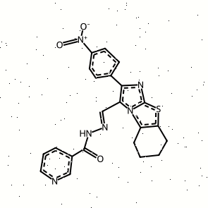 O=C(NN=Cc1c(-c2ccc([N+](=O)[O-])cc2)nc2sc3c(n12)CCCC3)c1cccnc1